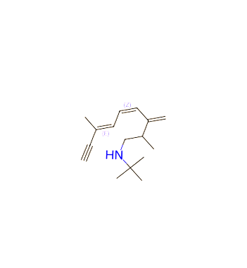 C#C/C(C)=C/C=C\C(=C)C(C)CNC(C)(C)C